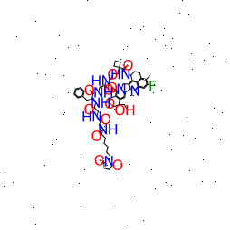 CC[C@@]1(O)COCc2c1cc1n(c2=O)Cc2c-1nc1cc(F)c(C)c3c1c2[C@@H](NC(=O)C1(COCNC(=O)CNC(=O)[C@H](Cc2ccccc2)NC(=O)CNC(=O)CNC(=O)CCCCCN2C(=O)C=CC2=O)CCC1)CC3